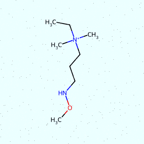 CC[N+](C)(C)CCCNOC